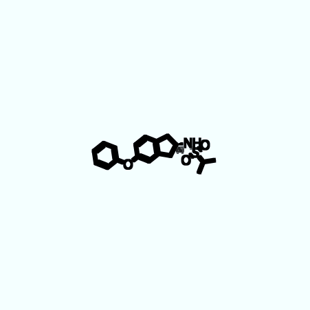 CC(C)S(=O)(=O)N[C@H]1Cc2ccc(Oc3ccccc3)cc2C1